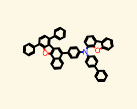 c1ccc(-c2ccc(N(c3ccc(-c4cc5c(oc6c(-c7ccccc7)ccc(-c7ccccc7)c65)c5ccccc45)cc3)c3cccc4c3oc3ccccc34)cc2)cc1